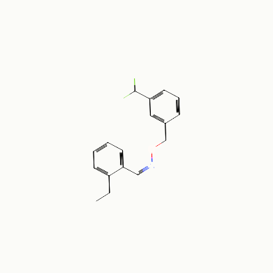 CCc1ccccc1/[C]=N\OCc1cccc(C(F)F)c1